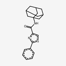 O=C(NC12CC3CC(CC(C3)C1)C2)c1csc(-c2ccccc2)n1